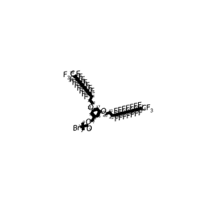 CC(C)(Br)C(=O)OCc1cc(OCCCC(F)(F)C(F)(F)C(F)(F)C(F)(F)C(F)(F)C(F)(F)C(F)(F)C(F)(F)F)cc(OCCCC(F)(F)C(F)(F)C(F)(F)C(F)(F)C(F)(F)C(F)(F)C(F)(F)C(F)(F)F)c1